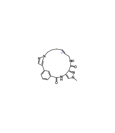 Cn1cc2c(n1)C(=O)NC/C=C/CCCn1cc(cn1)-c1cccc(c1)C(=O)N2